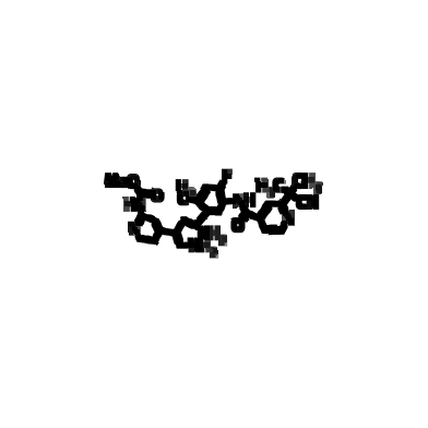 COC(=O)Nc1cc(C(/C=C(\N)c2cc(NC(=O)c3ccnc(C(C)(C)C#N)c3)c(F)cc2C)=C/N)ccn1